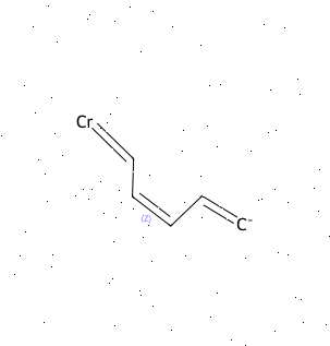 [CH-]=C/C=C\[CH]=[Cr]